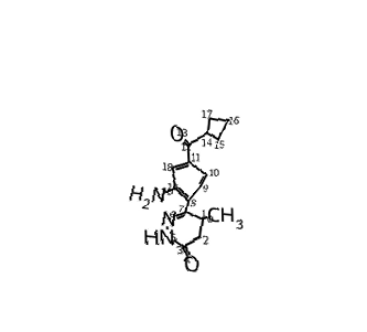 CC1CC(=O)NN=C1c1ccc(C(=O)C2CCC2)cc1N